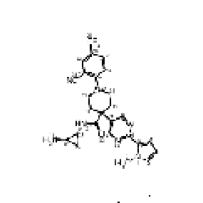 Cn1cccc1-c1ccc(C2(C(=O)N[C@@H]3C[C@H]3N)CCN(c3ccc(C(F)(F)F)cc3C#N)CC2)cn1